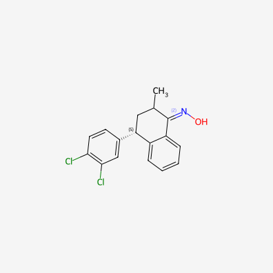 CC1C[C@@H](c2ccc(Cl)c(Cl)c2)c2ccccc2/C1=N\O